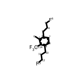 Cc1c(CCCF)ccc(CCCF)c1C(F)(F)F